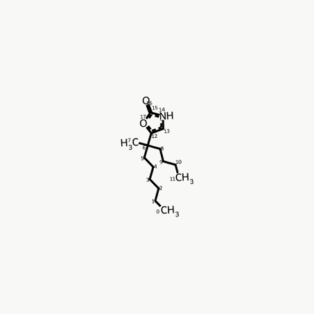 CCCCCCC(C)(CCCC)c1c[nH]c(=O)o1